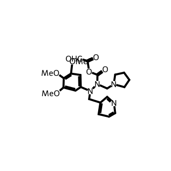 COc1cc(N(Cc2cccnc2)N(CN2CCCC2)C(=O)OC(=O)[C]=O)cc(OC)c1OC